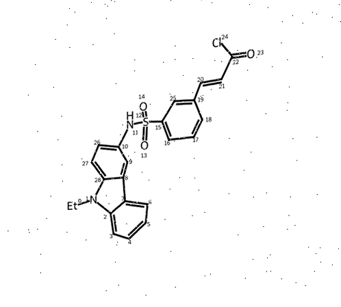 CCn1c2ccccc2c2cc(NS(=O)(=O)c3cccc(/C=C/C(=O)Cl)c3)ccc21